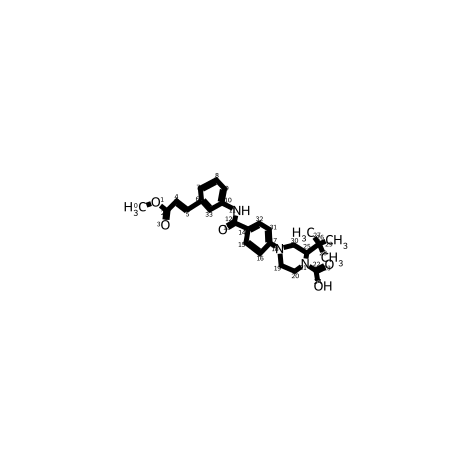 COC(=O)C=Cc1cccc(NC(=O)c2ccc(N3CCN(C(=O)O)C(C(C)(C)C)C3)cc2)c1